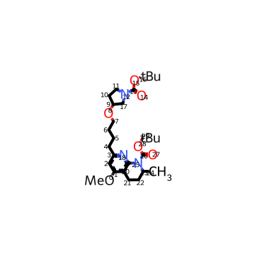 COc1cc(CCCCOC2CCN(C(=O)OC(C)(C)C)C2)nc2c1CCC(C)N2C(=O)OC(C)(C)C